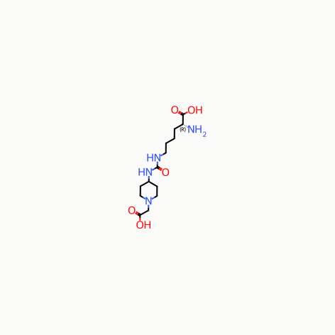 N[C@H](CCCCNC(=O)NC1CCN(CC(=O)O)CC1)C(=O)O